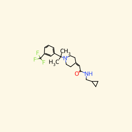 CC(C)(c1cccc(C(F)(F)F)c1)N1CCC(=CC(=O)NCC2CC2)CC1